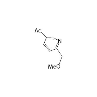 COCc1ccc(C(C)=O)cn1